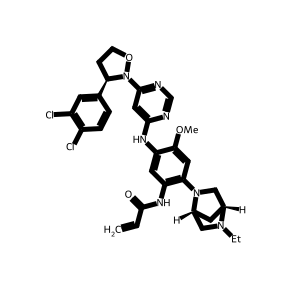 C=CC(=O)Nc1cc(Nc2cc(N3OCC[C@@H]3c3ccc(Cl)c(Cl)c3)ncn2)c(OC)cc1N1C[C@H]2C[C@@H]1CN2CC